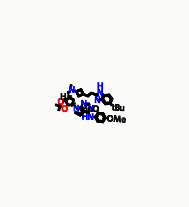 COc1ccc(Nc2ncnc3c2ccn3[C@@H]2C[C@H](CN(C)C3CC(CCc4nc5cc(C(C)(C)C)ccc5[nH]4)C3)[C@H]3OC(C)(C)OC23)c(OC)c1